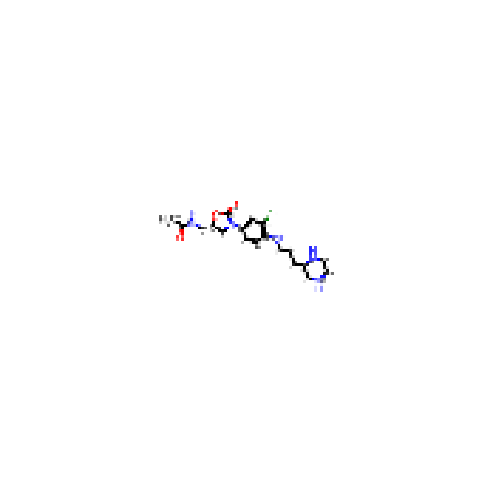 CC(=O)NC[C@H]1CN(c2ccc(NCCCC3CNCCN3)c(F)c2)C(=O)O1